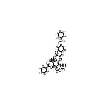 CC(=O)N[C@H]1C(Oc2cc3ccc(OCc4ccccc4)cc3oc2=O)O[C@@H]2COC(c3ccccc3)O[C@H]2[C@@H]1O